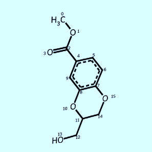 COC(=O)c1ccc2c(c1)OC(CO)CO2